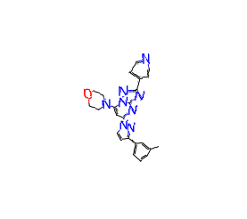 Cc1cccc(-c2ccn(-c3cc(N4CCOCC4)n4nc(-c5ccncc5)nc4n3)n2)c1